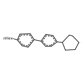 CCCCCCc1ccc(-c2ccc(C3CC[CH]CC3)cc2)cc1